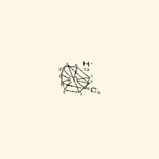 [CH]12[CH]3[CH]4[CH]5[CH]1[Ti]23451678[CH]2[CH]1[CH]6[CH]7[CH]28.[Cl-].[H-]